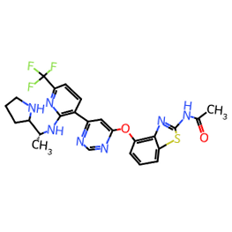 CC(=O)Nc1nc2c(Oc3cc(-c4ccc(C(F)(F)F)nc4N[C@H](C)C4CCCN4)ncn3)cccc2s1